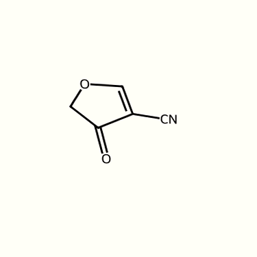 N#CC1=COCC1=O